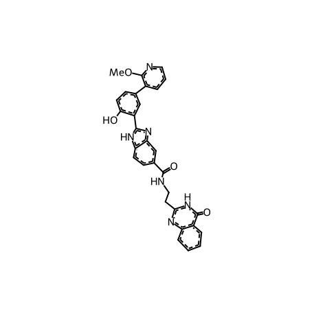 COc1ncccc1-c1ccc(O)c(-c2nc3cc(C(=O)NCCc4nc5ccccc5c(=O)[nH]4)ccc3[nH]2)c1